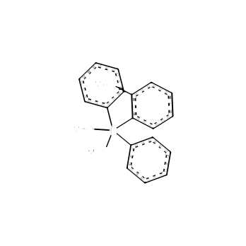 COc1ccccc1P(OC)(OC)(c1ccccc1)c1ccccc1